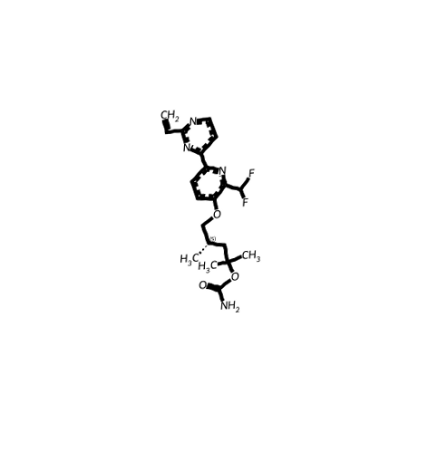 C=Cc1nccc(-c2ccc(OC[C@@H](C)CC(C)(C)OC(N)=O)c(C(F)F)n2)n1